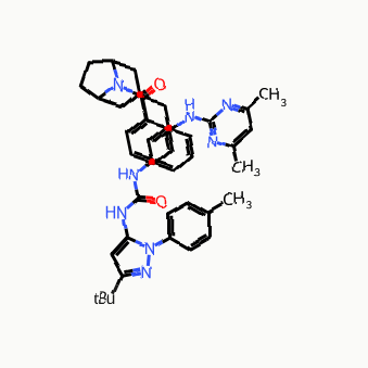 Cc1ccc(-n2nc(C(C)(C)C)cc2NC(=O)Nc2cccc(CC3CC4CCC(C3)N4C(=O)c3ccccc3Nc3nc(C)cc(C)n3)c2)cc1